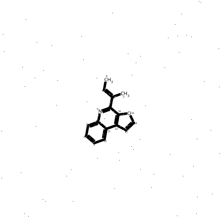 C/C=C(\C)c1nc2ccccc2c2ccoc12